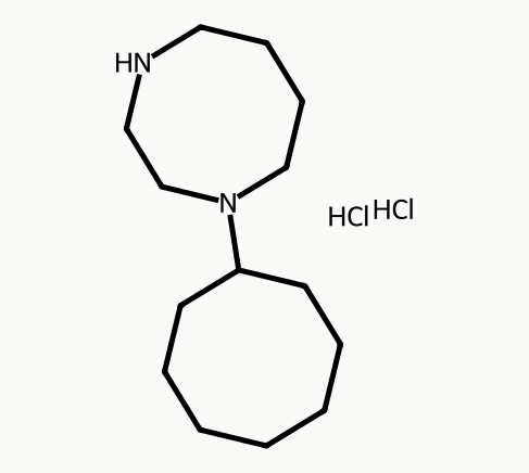 C1CCCC(N2CCCCNCC2)CCC1.Cl.Cl